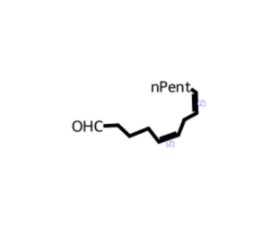 CCCCC/C=C\C/C=C\CCCC=O